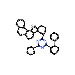 c1ccc(-c2nc(-c3ccccc3-c3ccccc3)nc(-c3cccc4[se]c5c(ccc6ccc7ccccc7c65)c34)n2)cc1